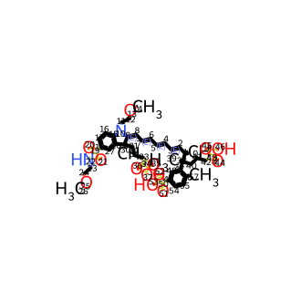 C=C(/C=C/C=C/C=C/C=C1/N(CCOC)c2ccc(S(=O)(=O)NCCOC)cc2C1(C)CCCS(=O)(=O)O)C(C)(CCCS(=O)(=O)O)c1cc(S(=O)(=O)O)ccc1C